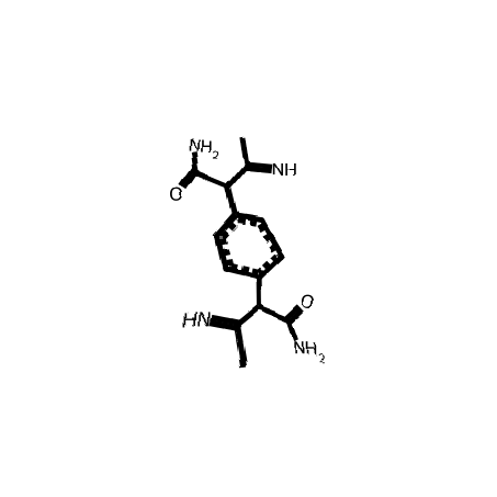 CC(=N)C(C(N)=O)c1ccc(C(C(C)=N)C(N)=O)cc1